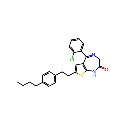 CCCCc1ccc(CCc2cc3c(s2)NC(=O)CN=C3c2ccccc2Cl)cc1